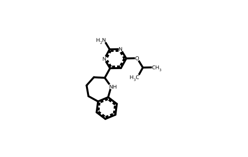 CC(C)Oc1cc(C2CCCc3ccccc3N2)nc(N)n1